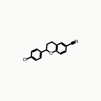 N#Cc1ccc2c(c1)CCC(c1ccc(Cl)cc1)O2